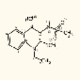 CCN(CC)c1ccccc1CCNS(C)(=O)=O.Cl